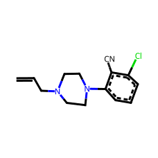 C=CCN1CCN(c2cccc(Cl)c2C#N)CC1